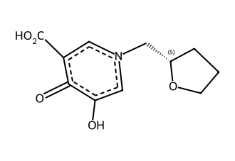 O=C(O)c1cn(C[C@@H]2CCCO2)cc(O)c1=O